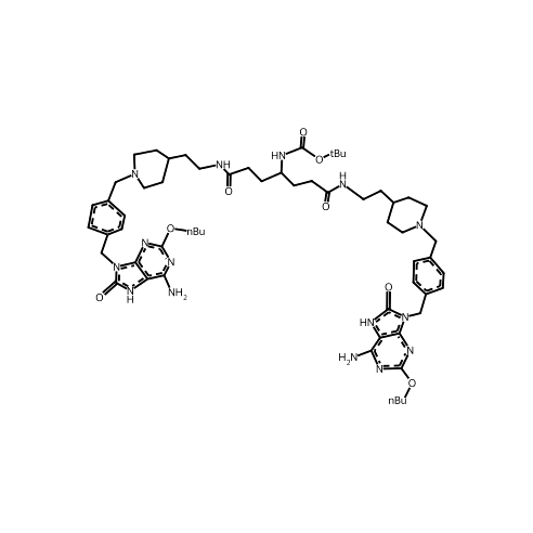 CCCCOc1nc(N)c2[nH]c(=O)n(Cc3ccc(CN4CCC(CCNC(=O)CCC(CCC(=O)NCCC5CCN(Cc6ccc(Cn7c(=O)[nH]c8c(N)nc(OCCCC)nc87)cc6)CC5)NC(=O)OC(C)(C)C)CC4)cc3)c2n1